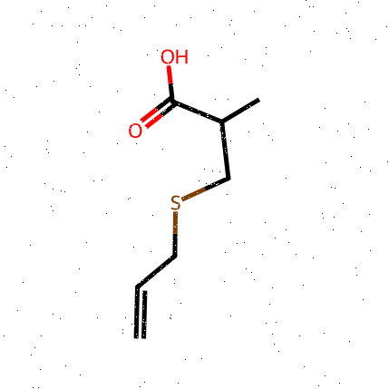 C=CCSCC(C)C(=O)O